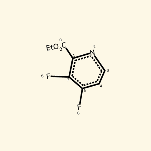 CCOC(=O)c1nccc(F)c1F